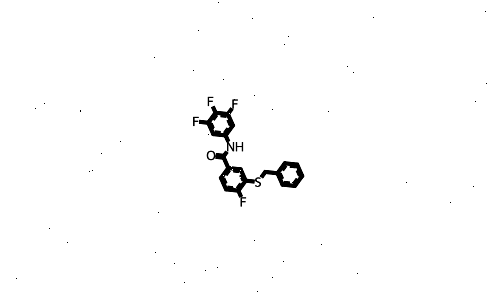 O=C(Nc1cc(F)c(F)c(F)c1)c1ccc(F)c(SCc2ccccc2)c1